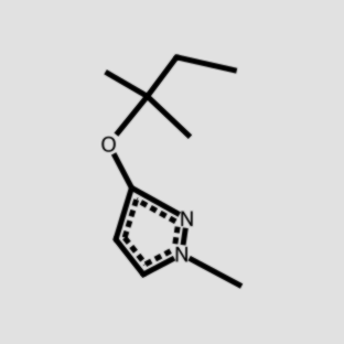 CCC(C)(C)Oc1ccn(C)n1